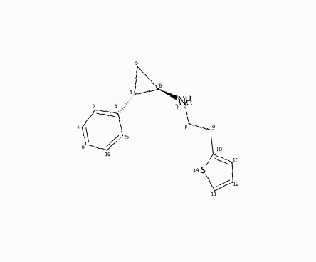 c1ccc([C@@H]2C[C@H]2NCCc2cccs2)cc1